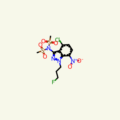 CS(=O)(=O)N(c1nn(CCCF)c2c([N+](=O)[O-])ccc(Cl)c12)S(C)(=O)=O